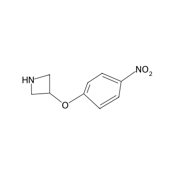 O=[N+]([O-])c1ccc(OC2CNC2)cc1